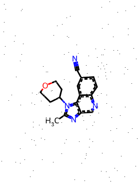 Cc1nc2cnc3ccc(C#N)cc3c2n1C1CCOCC1